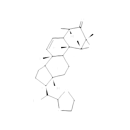 CC(C1OCCO1)[C@H]1CC[C@H]2[C@@H]3C=C[C@@]45O[C@@H]4C(=O)[C@@H]4O[C@@H]4[C@]5(C)[C@H]3CC[C@]12C